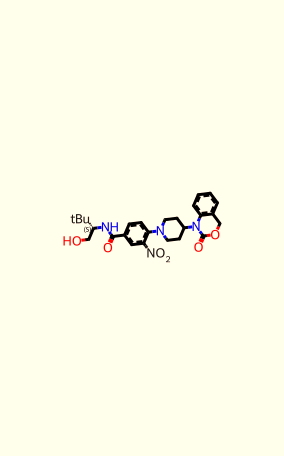 CC(C)(C)[C@@H](CO)NC(=O)c1ccc(N2CCC(N3C(=O)OCc4ccccc43)CC2)c([N+](=O)[O-])c1